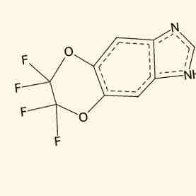 FC1(F)Oc2cc3nc[nH]c3cc2OC1(F)F